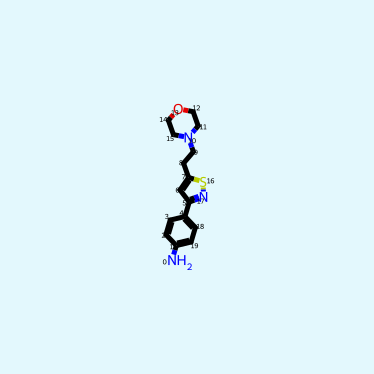 Nc1ccc(-c2cc(CCN3CCOCC3)sn2)cc1